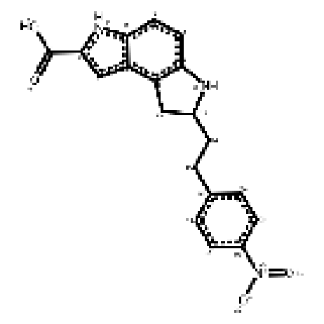 O=C(O)c1cc2c3c(ccc2[nH]1)NC(CCc1ccc([N+](=O)[O-])cc1)C3